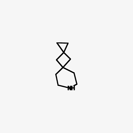 C1CC2(CCN1)CC1(CC1)C2